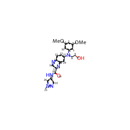 COc1cc(OC)cc(N(CCO)c2ccc3ncc(C(=O)Nc4cnn(C)c4)nc3c2)c1